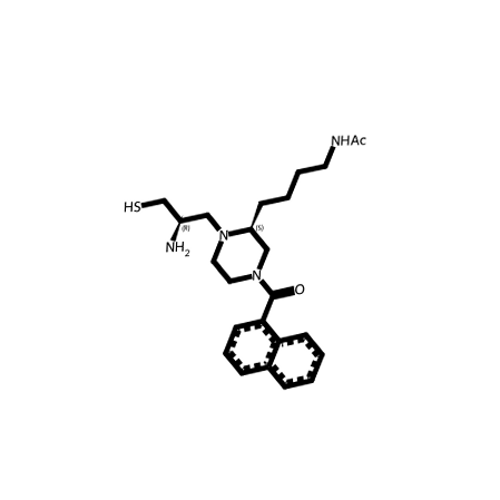 CC(=O)NCCCC[C@H]1CN(C(=O)c2cccc3ccccc23)CCN1C[C@@H](N)CS